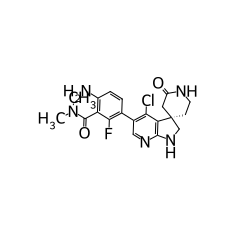 CN(C)C(=O)c1c(N)ccc(-c2cnc3c(c2Cl)[C@]2(CCNC(=O)C2)CN3)c1F